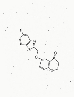 O=C1CCOc2ccc(OCc3nc4cc(F)ccc4s3)cc21